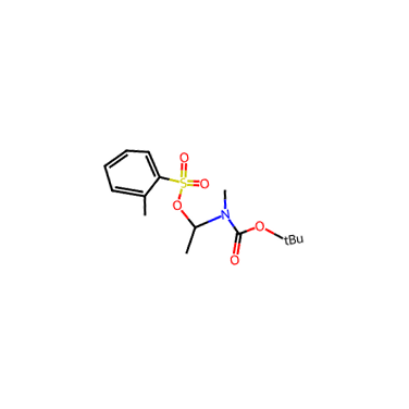 Cc1ccccc1S(=O)(=O)OC(C)N(C)C(=O)OC(C)(C)C